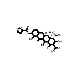 CN(C)[C@@H]1C(O)=C(C(N)=O)C(=O)[C@@]2(O)C(O)=C3C(=O)c4c(ccc(NC(=O)c5ccno5)c4O)C[C@H]3C[C@@H]12